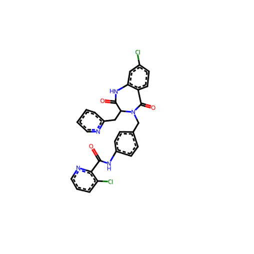 O=C(Nc1ccc(CN2C(=O)c3ccc(Cl)cc3NC(=O)C2Cc2ccccn2)cc1)c1ncccc1Cl